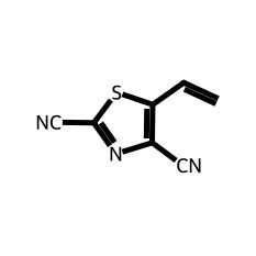 C=Cc1sc(C#N)nc1C#N